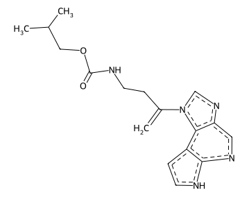 C=C(CCNC(=O)OCC(C)C)n1cnc2cnc3[nH]ccc3c21